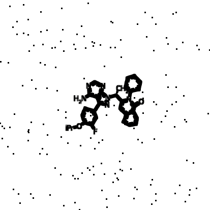 CC(C)Oc1ccc(-c2nn([C@H](C)c3cc4ccccc4c(=O)n3-c3ccccc3)c3ncnc(N)c23)cc1F